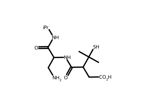 CC(C)NC(=O)C(CN)NC(=O)C(CC(=O)O)C(C)(C)S